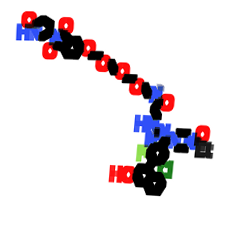 CCC(=O)N1CCN(c2nc(NCCC(=O)N(C)CCOCCOCCOCCOc3ccc4c(c3)C(=O)N(C3CCC(=O)NC3)C4=O)nc3c(F)c(-c4cc(O)cc5ccccc45)c(Cl)cc23)CC1